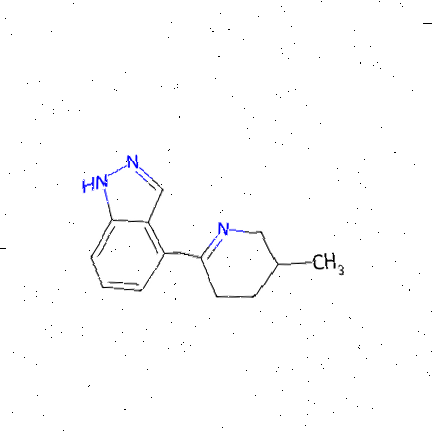 CC1CCC(c2cccc3[nH]ncc23)=NC1